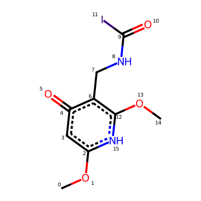 COc1cc(=O)c(CNC(=O)I)c(OC)[nH]1